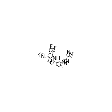 COc1c(CN2CCCC2)cc(OC(F)(F)F)cc1NC(=O)c1ccc(C)c(-n2cc(-c3cnn(C)c3C)nn2)c1